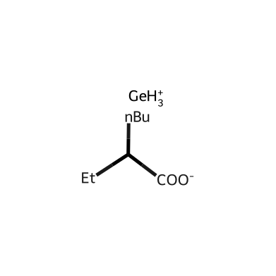 CCCCC(CC)C(=O)[O-].[GeH3+]